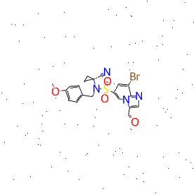 COc1ccc(CN(C2(C#N)CC2)S(=O)(=O)c2cc(Br)c3ncc(C=O)n3c2)cc1